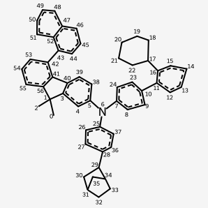 CC1(C)c2cc(N(c3ccc(-c4ccccc4C4CCCCC4)cc3)c3ccc(C4CC5CCC4C5)cc3)ccc2-c2c(-c3cccc4ccccc34)cccc21